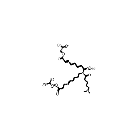 CCCCCCCCCCC(CCCCC=CC(=O)OOC(CC)CC)N(CCCCCCCCC(=O)OOC(CC)CC)C(=O)CCCCN(C)C